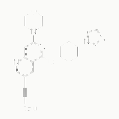 CC(C)(C)C#Cc1cnc2cc(N3CCOCC3)nc(O[C@H]3CC[C@@H](n4ccnc4)CC3)c2c1